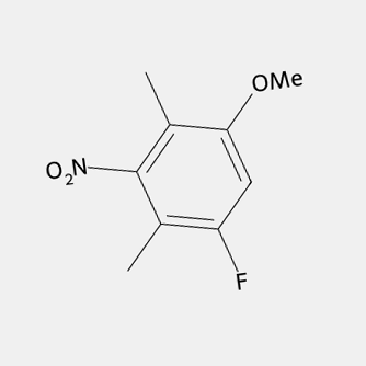 COc1cc(F)c(C)c([N+](=O)[O-])c1C